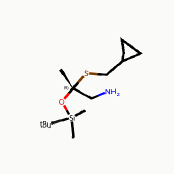 CC(C)(C)[Si](C)(C)O[C@@](C)(CN)SCC1CC1